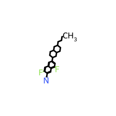 CCCCC1CCC2CC(c3cc(F)c4cc(C#N)c(F)cc4c3)CCC2C1